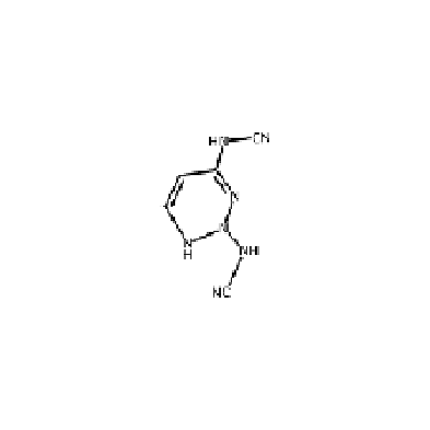 N#CNC1=NN(NC#N)N[C]=C1